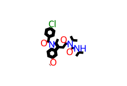 COc1ccc2c(c1)c(CC(=O)N(C(=O)NC(C)C)C(C)C)c(C)n2C(=O)c1ccc(Cl)cc1